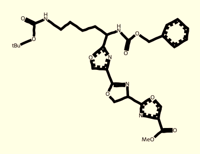 COC(=O)c1coc(C2COC(c3coc(C(CCCCNC(=O)OC(C)(C)C)NC(=O)OCc4ccccc4)n3)=N2)n1